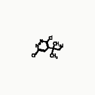 CC(C)(CI)c1cc(Cl)nnc1Cl